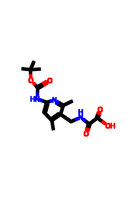 Cc1cc(NC(=O)OC(C)(C)C)nc(C)c1CNC(=O)C(=O)O